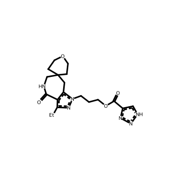 CCc1nn(CCCOC(=O)c2c[nH]nn2)c2c1C(=O)NCC1(CCOCC1)C2